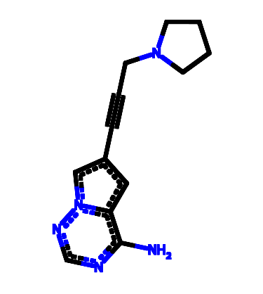 Nc1ncnn2cc(C#CCN3CCCC3)cc12